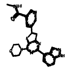 CNC(=O)c1cncc(C2Cc3nc(-c4cccc5[nH]ncc45)nc(N4CCOCC4)c3S2)c1